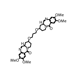 COc1cc2c(cc1OC)C(=O)N1CCC(OCCCOC3CCN4C(=O)c5cc(OC)c(OC)cc5N=C[C@@H]4C3)C[C@H]1C=N2